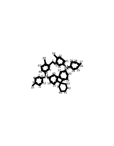 CCc1cc(N(c2ccc(C)cc2)c2ccc(C3(c4ccc(N(c5ccc(C)cc5)c5ccc(C)cc5)cc4)CCCCC3)cc2)ccc1C